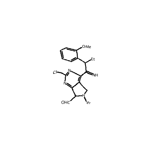 CCC(C(=N)c1nc(Cl)nc2c1CN(C(C)C)C2C=O)c1ccccc1OC